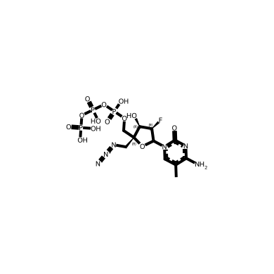 Cc1cn(C2O[C@](CN=[N+]=[N-])(COP(=O)(O)OP(=O)(O)OP(=O)(O)O)[C@@H](O)[C@H]2F)c(=O)nc1N